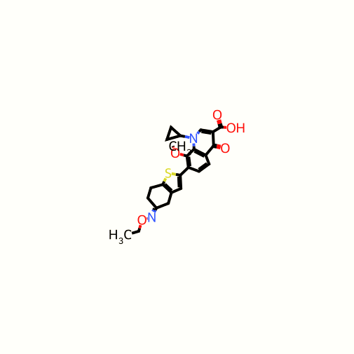 CCO/N=C1\CCc2sc(-c3ccc4c(=O)c(C(=O)O)cn(C5CC5)c4c3OC)cc2C1